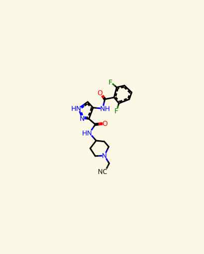 N#CCN1CCC(NC(=O)c2n[nH]cc2NC(=O)c2c(F)cccc2F)CC1